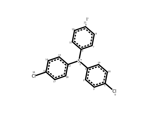 Clc1ccc([S+](c2ccccc2)c2ccc(Cl)cc2)cc1.[I-]